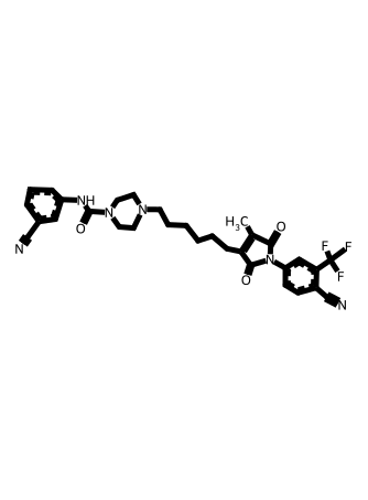 CC1=C(CCCCCCN2CCN(C(=O)Nc3cccc(C#N)c3)CC2)C(=O)N(c2ccc(C#N)c(C(F)(F)F)c2)C1=O